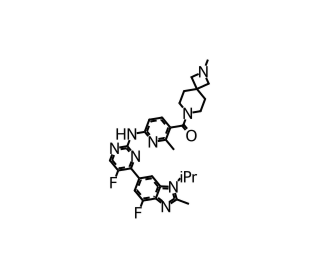 Cc1nc(Nc2ncc(F)c(-c3cc(F)c4nc(C)n(C(C)C)c4c3)n2)ccc1C(=O)N1CCC2(CC1)CN(C)C2